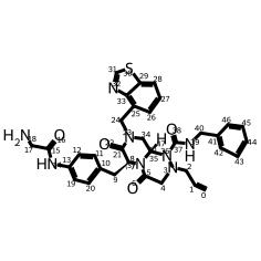 C=CCN1CC(=O)N2[C@@H](Cc3ccc(NC(=O)CN)cc3)C(=O)N(Cc3cccc4scnc34)C[C@@H]2N1C(=O)NCc1ccccc1